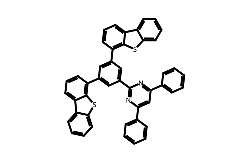 c1ccc(-c2cc(-c3ccccc3)nc(-c3cc(-c4cccc5c4sc4ccccc45)cc(-c4cccc5c4sc4ccccc45)c3)n2)cc1